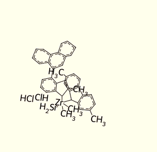 CC1=Cc2c(-c3cc4ccccc4c4ccccc34)cccc2[CH]1[Zr]([CH3])([CH3])(=[SiH2])[CH]1c2cc(C)ccc2-c2ccc(C)cc21.Cl.Cl